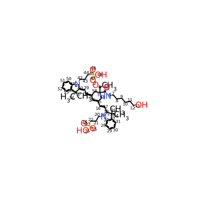 CC(=O)C1(C(=O)NCCCCCCO)CC(/C=C/C2=[N+](CCCS(=O)(=O)O)c3ccccc3C2(C)C)=CC(=C/C=C2/N(CCCS(=O)(=O)O)c3ccccc3C2(C)C)/C1